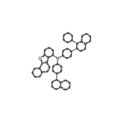 c1ccc(-c2c(-c3ccc(N(c4ccc(-c5cccc6ccccc56)cc4)c4cccc5oc6c7ccccc7ccc6c45)cc3)ccc3ccccc23)cc1